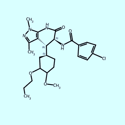 CCCOC1C[C@@H]([C@@H]2c3c(C)nn(C)c3NC(=O)[C@H]2NC(=O)c2ccc(Cl)cc2)CCC1OC